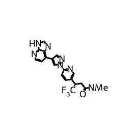 CNC(=O)C[C@H](c1ccc(-n2cc(-c3ccnc4[nH]cnc34)cn2)nc1)C(F)(F)F